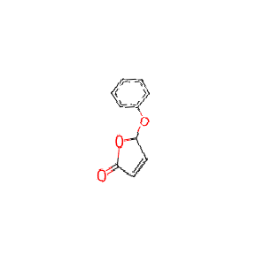 O=C1C=CC(Oc2ccccc2)O1